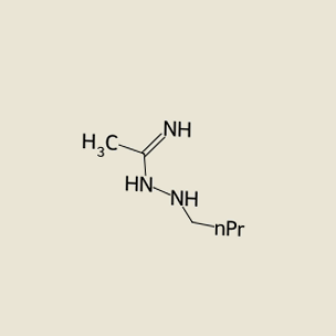 CCCCNNC(C)=N